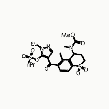 CCCS(=O)(=O)Oc1c(C(=O)c2ccc3c(c2C)C(N(C)C(=O)OC)CCS3(=O)=O)cnn1CC